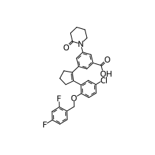 O=C(O)c1cc(C2=C(c3cc(Cl)ccc3OCc3ccc(F)cc3F)CCC2)cc(N2CCCCC2=O)c1